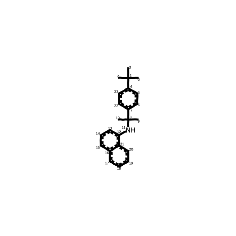 CC(C)(C)c1ccc(C(C)(C)Nc2cccc3ccccc23)cc1